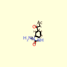 CC(=O)CC(=O)c1ccc2[nH]c(=O)n(N)c2c1